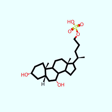 C[C@H](CCCOS(=O)(=O)O)C1CCC2C3C(CC[C@@]21C)[C@@]1(C)CC[C@@H](O)C[C@H]1C[C@H]3O